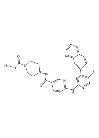 CC(C)(C)OC(=O)N1CCN(NC(=O)c2ccc(Nc3ncc(F)c(-c4ccc5nccnc5c4)n3)nc2)CC1